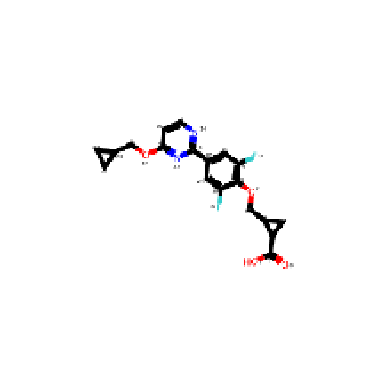 O=C(O)C1CC1COc1c(F)cc(-c2nccc(OCC3CC3)n2)cc1F